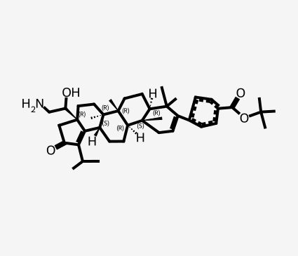 CC(C)C1=C2[C@H]3CC[C@@H]4[C@@]5(C)CC=C(c6ccc(C(=O)OC(C)(C)C)cc6)C(C)(C)[C@@H]5CC[C@@]4(C)[C@]3(C)CC[C@@]2(C(O)CN)CC1=O